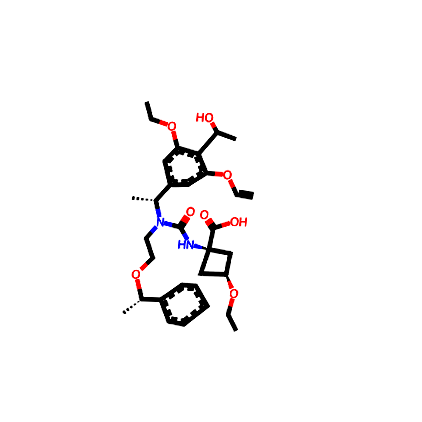 C=COc1cc([C@@H](C)N(CCO[C@@H](C)c2ccccc2)C(=O)N[C@]2(C(=O)O)C[C@H](OCC)C2)cc(OCC)c1C(C)O